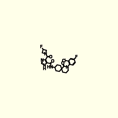 O=C(NC1CCC2(CCCN(c3ccc(F)cc3Cl)C2=O)CC1)c1[nH]cnc1C(=O)N1CC(F)C1